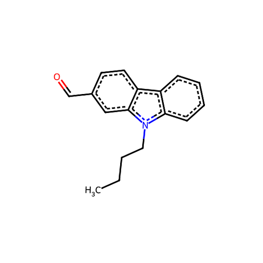 CCCCn1c2ccccc2c2ccc(C=O)cc21